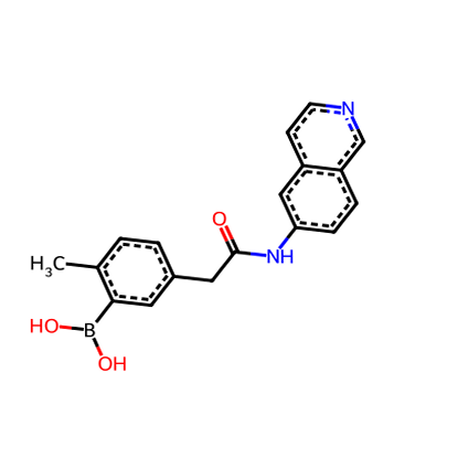 Cc1ccc(CC(=O)Nc2ccc3cnccc3c2)cc1B(O)O